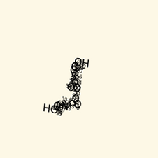 COc1cc2c(cc1OCCCOc1cc3cc(C(=O)C[C@H](C)C(=O)O)sc3cc1OC)C(C)N(C(=O)C[C@H](C)C(=O)O)C2